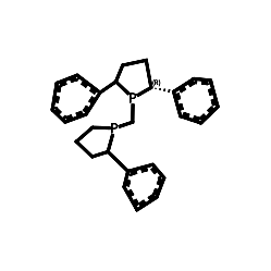 c1ccc(C2CCCP2CP2C(c3ccccc3)CC[C@@H]2c2ccccc2)cc1